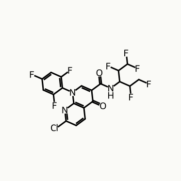 O=C(NC(C(F)CF)C(F)C(F)F)c1cn(-c2c(F)cc(F)cc2F)c2nc(Cl)ccc2c1=O